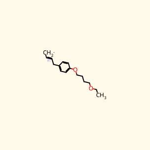 [CH2]/C=C/Cc1ccc(OCCCCOCC)cc1